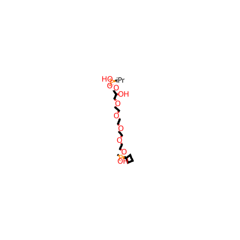 CC(C)P(=O)(O)OCC(O)COCCOCCOCCOCCOP(C)(O)=C1CCC1